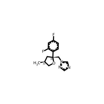 C[C@@H]1CO[C@@](Cn2cncn2)(c2ccc(F)cc2F)C1